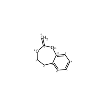 C=C1OCCc2ccccc2O1